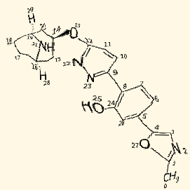 Cc1ncc(-c2ccc(-c3ccc(O[C@H]4C[C@H]5CC[C@@H](C4)N5)nn3)c(O)c2)o1